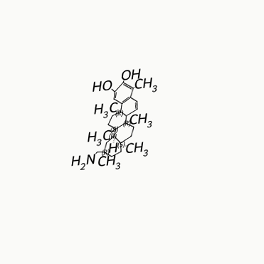 Cc1c(O)c(O)cc2c1C=CC1[C@@]2(C)CC[C@@]2(C)[C@@H]3C[C@](C)(CN)CC[C@]3(C)CC[C@]12C